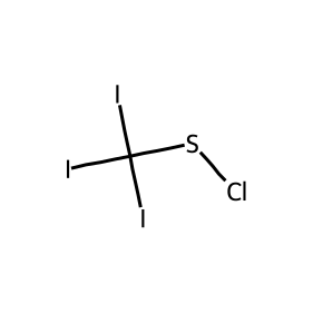 ClSC(I)(I)I